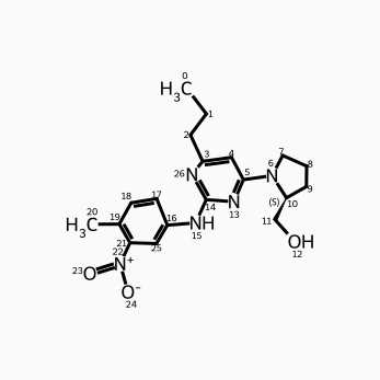 CCCc1cc(N2CCC[C@H]2CO)nc(Nc2ccc(C)c([N+](=O)[O-])c2)n1